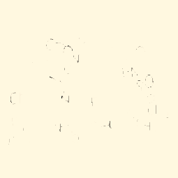 C[C@@H]1[C@@H](C)C/C=C(\F)[C@H](C(=O)N2CCC(F)(F)CC2)N2CCC[C@@]23CN2CCCCc4cc(Cl)cc3c4COc3ccc(cc32)C(=O)NS1(=O)=O